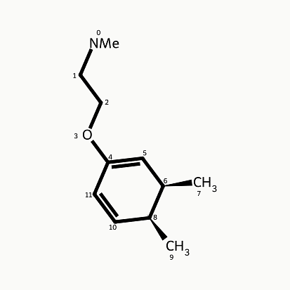 CNCCOC1=C[C@@H](C)[C@@H](C)C=C1